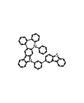 c1ccc(N2c3ccccc3-c3ccccc3-c3cc4c5ccccc5n(-c5cccc(-c6ccc7sc8ccccc8c7c6)c5)c4cc32)cc1